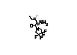 CC[C@H](C)[C@H](N)C(=O)N1CC(F)(F)C(F)(F)C1